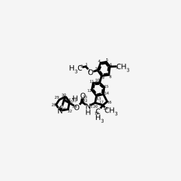 CCOc1ccc(C)cc1-c1ccc2c(c1)CC(C)(C)C2NC(=O)O[C@H]1CN2CCC1CC2